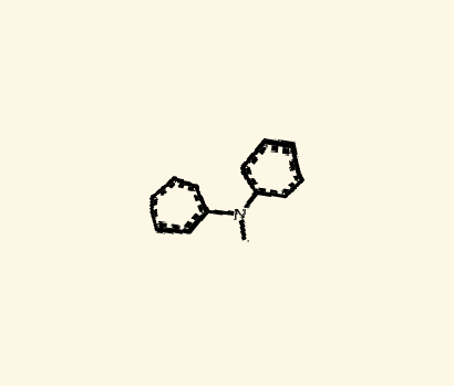 [CH2]N(c1ccccc1)c1ccccc1